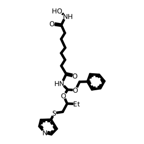 CCC(CSc1ccncc1)OC(NC(=O)CCCCCCC(=O)NO)OCc1ccccc1